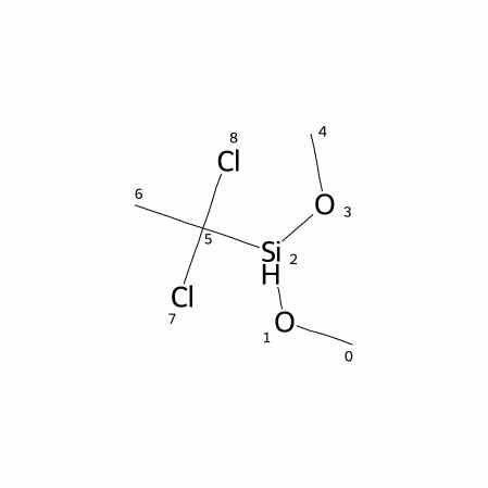 CO[SiH](OC)C(C)(Cl)Cl